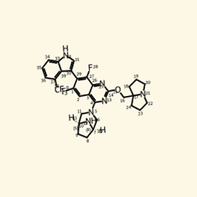 Fc1cc2c(N3C[C@H]4CC[C@@H](C3)N4)nc(OCC34CCCN3CCC4)nc2c(F)c1-c1c[nH]c2cccc(C(F)(F)F)c12